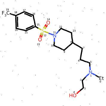 CCN(CCO)CCCC1CCN(S(=O)(=O)c2ccc(C(F)(F)F)cc2)CC1